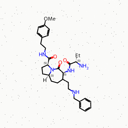 CC[C@H](N)C(=O)N[C@@H]1C(=O)N2[C@@H](CCC1CCNCc1ccccc1)CC[C@H]2C(=O)NCCc1ccc(OC)cc1